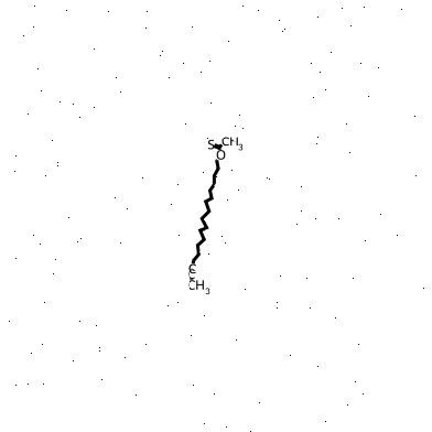 CCCCCCCCCCCCCCCCCCOC(C)=S